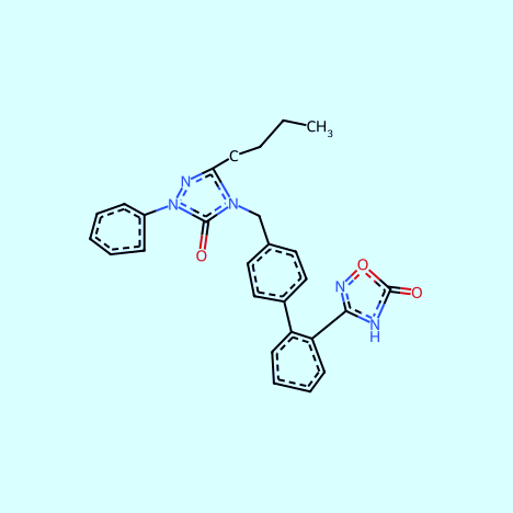 CCCCc1nn(-c2ccccc2)c(=O)n1Cc1ccc(-c2ccccc2-c2noc(=O)[nH]2)cc1